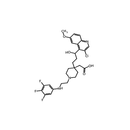 COc1ccc2ncc(Cl)c(C(O)CCC3(CC(=O)O)CCN(CCNc4cc(F)c(F)c(F)c4)CC3)c2c1